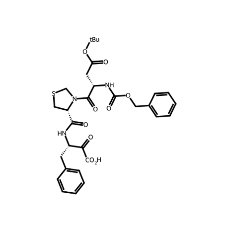 CC(C)(C)OC(=O)C[C@H](NC(=O)OCc1ccccc1)C(=O)N1CSC[C@H]1C(=O)N[C@@H](Cc1ccccc1)C(=O)C(=O)O